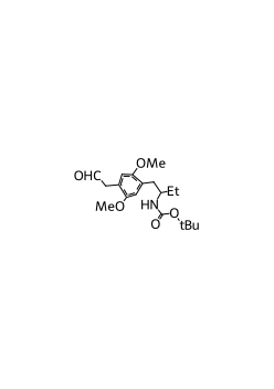 CCC(Cc1cc(OC)c(CC=O)cc1OC)NC(=O)OC(C)(C)C